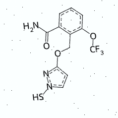 NC(=O)c1cccc(OC(F)(F)F)c1COc1ccn(S)n1